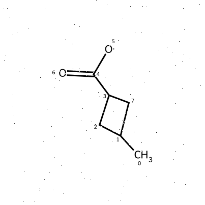 CC1CC(C([O])=O)C1